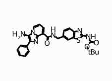 CC(C)(C)OC(=O)Nc1nc2ccc(CNC(=O)c3cccn4c(N)c(-c5ccccc5)nc34)cc2s1